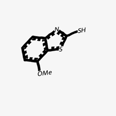 COc1cccc2nc(S)sc12